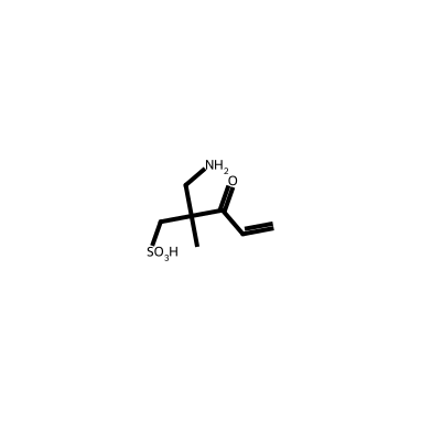 C=CC(=O)C(C)(CN)CS(=O)(=O)O